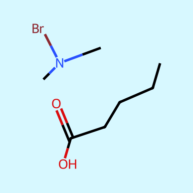 CCCCC(=O)O.CN(C)Br